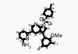 COc1c(F)cc(F)cc1-c1cn(S(=O)(=O)c2ccc(C)cc2)c2ncc(-c3cccc(N)n3)cc12